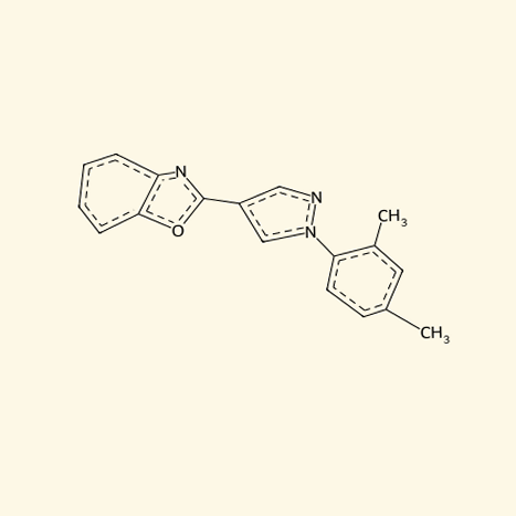 Cc1ccc(-n2cc(-c3nc4ccccc4o3)cn2)c(C)c1